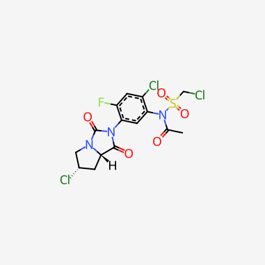 CC(=O)N(c1cc(N2C(=O)[C@@H]3C[C@H](Cl)CN3C2=O)c(F)cc1Cl)S(=O)(=O)CCl